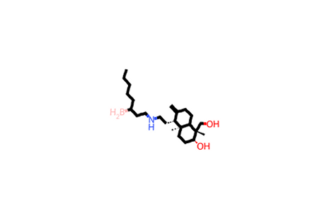 BC(CCCCC)CCNCC[C@@H]1C(=C)CCC2[C@](C)(CO)[C@H](O)CC[C@]21C